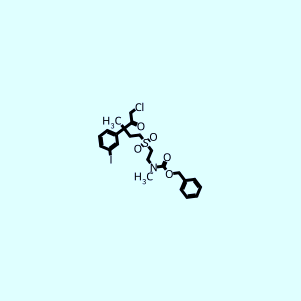 CN(CCS(=O)(=O)CCC(C)(C(=O)CCl)c1cccc(I)c1)C(=O)OCc1ccccc1